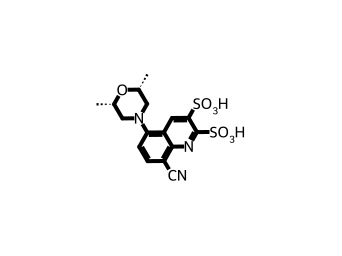 C[C@@H]1CN(c2ccc(C#N)c3nc(S(=O)(=O)O)c(S(=O)(=O)O)cc23)C[C@H](C)O1